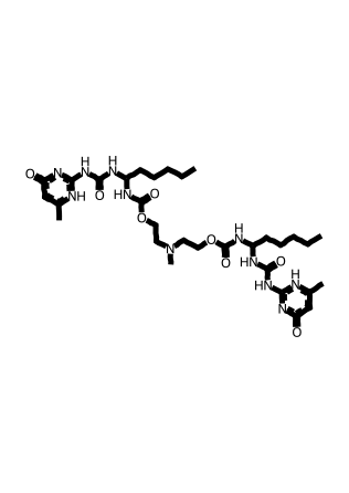 CCCCCC(NC(=O)Nc1nc(=O)cc(C)[nH]1)NC(=O)OCCN(C)CCOC(=O)NC(CCCCC)NC(=O)Nc1nc(=O)cc(C)[nH]1